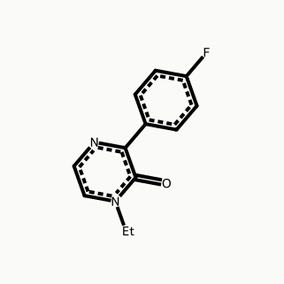 CCn1ccnc(-c2ccc(F)cc2)c1=O